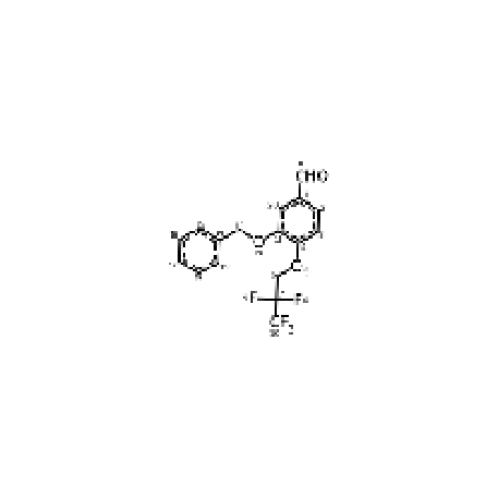 O=Cc1ccc(OCC(F)(F)C(F)(F)F)c(OCc2ccccc2)c1